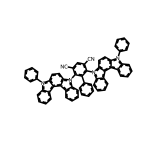 N#Cc1cc(C#N)c(-n2c3ccccc3c3c4c5ccccc5n(-c5ccccc5)c4ccc32)c(-c2ccccc2)c1-n1c2ccccc2c2c3c4ccccc4n(-c4ccccc4)c3ccc21